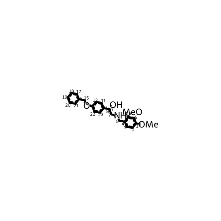 COc1ccc(CNC[C@@H](O)c2ccc(OCc3ccccc3)cc2)c(OC)c1